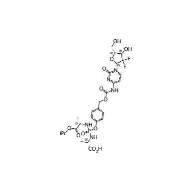 CC(C)OC(=O)[C@H](C)NP(=O)(N[C@@H](C)C(=O)O)Oc1ccc(COC(=O)Nc2ccn([C@@H]3O[C@H](CO)[C@@H](O)C3(F)F)c(=O)n2)cc1